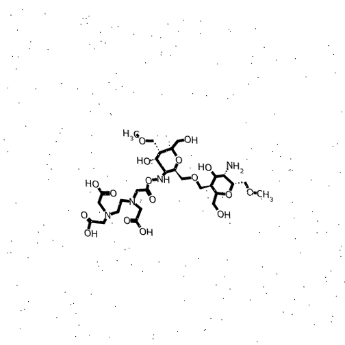 COC[C@@H]1OC(CO)[C@@H](COC[C@@H]2OC(CO)[C@@H](COC)[C@@H](O)C2NOC(=O)CN(CCN(CC(=O)O)CC(=O)O)CC(=O)O)C(O)[C@@H]1N